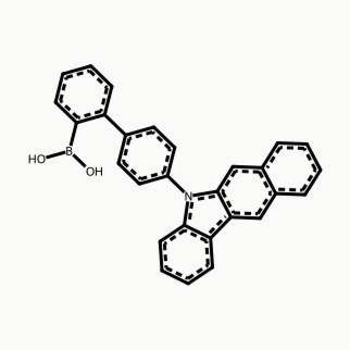 OB(O)c1ccccc1-c1ccc(-n2c3ccccc3c3cc4ccccc4cc32)cc1